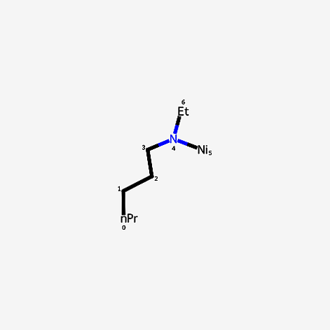 CCCCCC[N]([Ni])CC